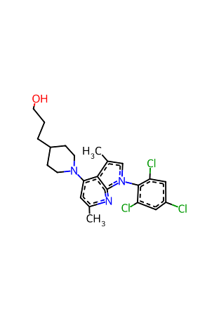 Cc1cc(N2CCC(CCCO)CC2)c2c(C)cn(-c3c(Cl)cc(Cl)cc3Cl)c2n1